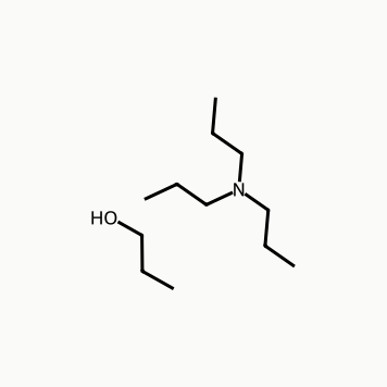 CCCN(CCC)CCC.CCCO